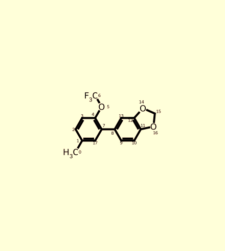 Cc1ccc(OC(F)(F)F)c(-c2ccc3c(c2)OCO3)c1